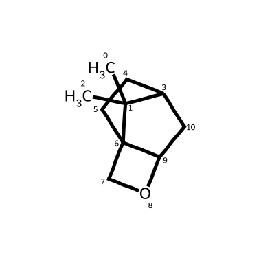 CC1(C)C2CCC13COC3C2